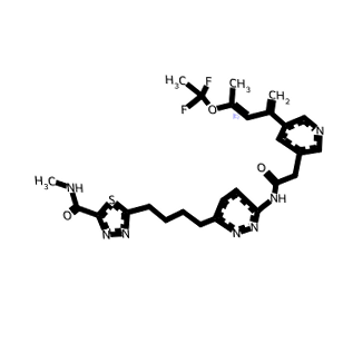 C=C(/C=C(\C)OC(C)(F)F)c1cncc(CC(=O)Nc2ccc(CCCCc3nnc(C(=O)NC)s3)nn2)c1